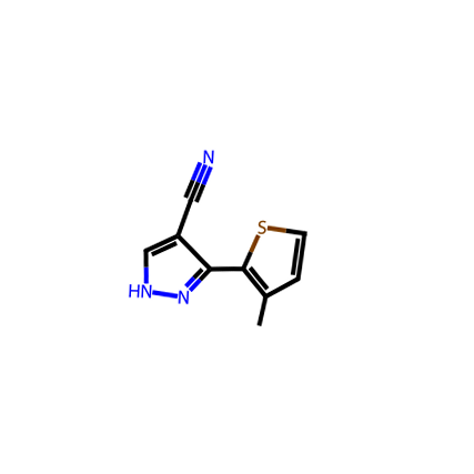 Cc1ccsc1-c1n[nH]cc1C#N